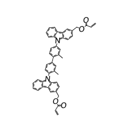 C=CC(=O)OCc1ccc2c(c1)c1ccccc1n2-c1ccc(-c2ccc(-n3c4ccccc4c4cc(COC(=O)C=C)ccc43)c(C)c2)c(C)c1